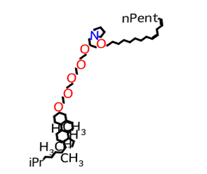 CCCCC/C=C\C/C=C\CCCCCCCCOCC(CN1CCCC1)OCCOCCOCCOCCOC1CC[C@@]2(C)C(=CC[C@H]3[C@@H]4CC[C@H]([C@H](C)CCCC(C)C)[C@@]4(C)CC[C@@H]32)C1